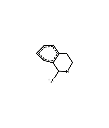 CC1[N]CCc2ccccc21